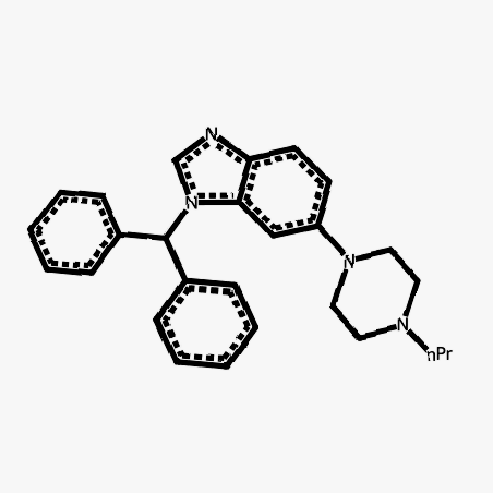 CCCN1CCN(c2ccc3ncn(C(c4ccccc4)c4ccccc4)c3c2)CC1